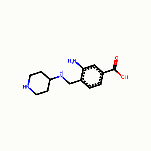 Nc1cc(C(=O)O)ccc1CNC1CCNCC1